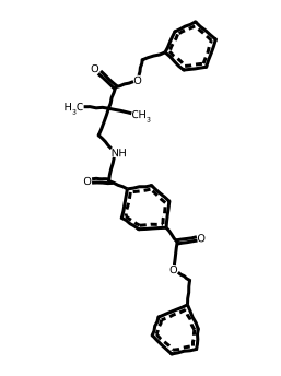 CC(C)(CNC(=O)c1ccc(C(=O)OCc2ccccc2)cc1)C(=O)OCc1ccccc1